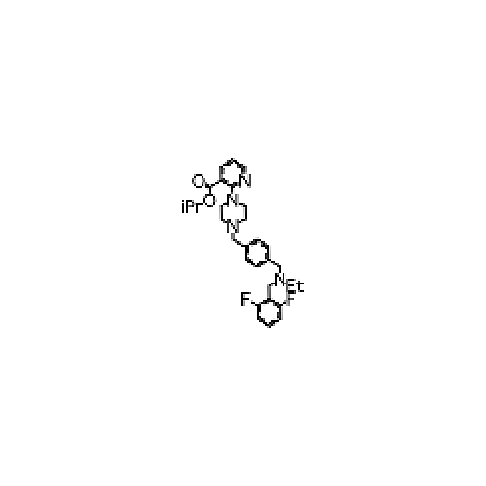 CCN(Cc1ccc(CN2CCN(c3ncccc3C(=O)OC(C)C)CC2)cc1)Cc1c(F)cccc1F